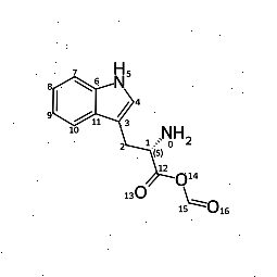 N[C@@H](Cc1c[nH]c2ccccc12)C(=O)OC=O